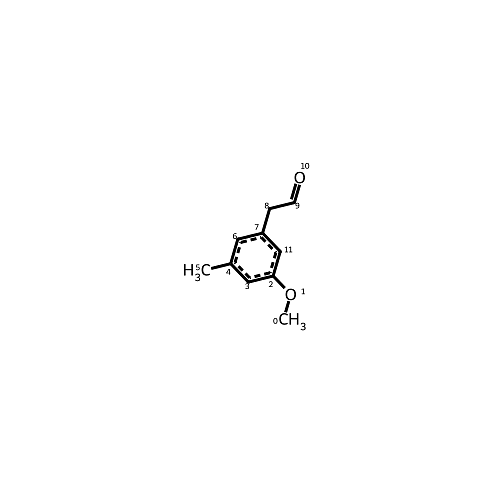 COc1cc(C)cc(CC=O)c1